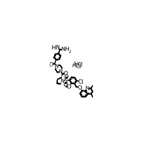 COc1c(S(=O)(=O)N2CCC[C@H]2C(=O)N2CCN(C(=O)c3ccc(C(=N)N)cc3)CC2)ccc(Cl)c1COc1cccc2c(C)cc(C)nc12.Cl.Cl